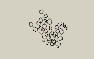 CC(C)(C)c1ccc2c(c1)B1c3ccc(-c4cc([Si](c5ccccc5)(c5ccccc5)c5cccc(-c6ccccc6)c5)cc([Si](c5ccccc5)(c5ccccc5)c5cccc(-c6ccccc6)c5)c4)cc3N(c3c(-c4ccccc4)cccc3-c3ccccc3)c3cc(C(C)(C)C)cc(c31)N2c1c(-c2ccccc2)cccc1-c1ccccc1